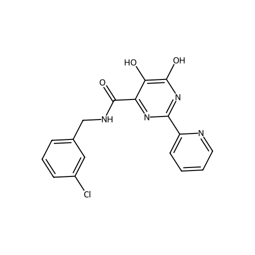 O=C(NCc1cccc(Cl)c1)c1nc(-c2ccccn2)nc(O)c1O